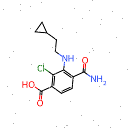 NC(=O)c1ccc(C(=O)O)c(Cl)c1NCCC1CC1